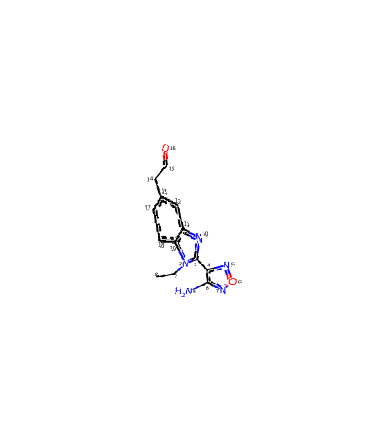 CCn1c(-c2nonc2N)nc2cc(CC=O)ccc21